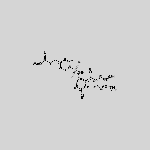 COC(=O)CCc1ccc(S(=O)(=O)Nc2ccc(Cl)cc2C(=O)c2ccc(C)[n+](O)c2)cc1